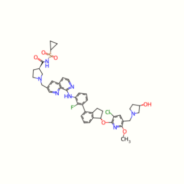 COc1nc(O[C@@H]2CCc3c(-c4cccc(Nc5nccc6cc(CN7CC[C@@H](C(=O)NS(=O)(=O)C8CC8)C7)cnc56)c4F)cccc32)c(Cl)cc1CN1CC[C@@H](O)C1